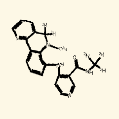 [2H]C([2H])([2H])NC(=O)c1cnccc1Nc1cccc2c1N(C)C([2H])([2H])c1cccnc1-2